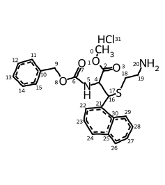 COC(=O)C(NC(=O)OCc1ccccc1)C(SCCN)c1cccc2ccccc12.Cl